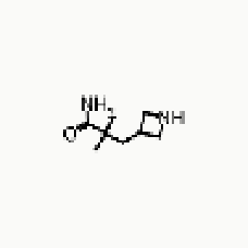 CC(C)(CC1CNC1)C(N)=O